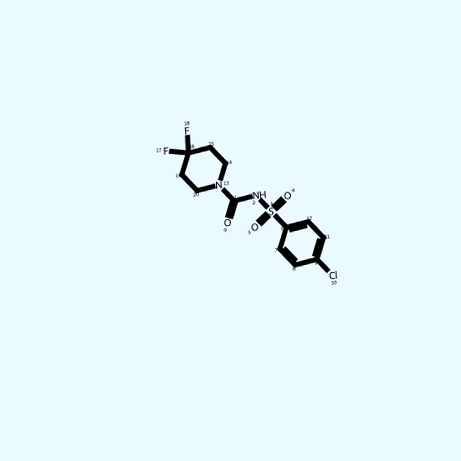 O=C(NS(=O)(=O)c1ccc(Cl)cc1)N1CCC(F)(F)CC1